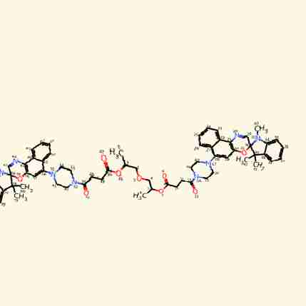 CC(COCC(C)OC(=O)CCC(=O)N1CCN(c2cc3c(c4ccccc24)N=CC2(O3)N(C)c3ccccc3C2(C)C)CC1)OC(=O)CCC(=O)N1CCN(c2cc3c(c4ccccc24)N=CC2(O3)N(C)c3ccccc3C2(C)C)CC1